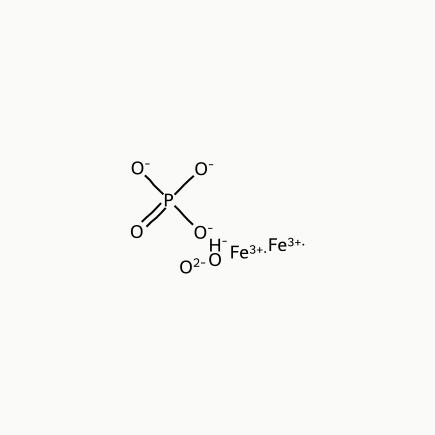 O=P([O-])([O-])[O-].[Fe+3].[Fe+3].[O-2].[OH-]